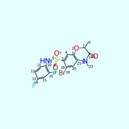 CC1Oc2cc(S(=O)(=O)Nc3ccc(F)cc3F)c(Br)cc2N(C)C1=O